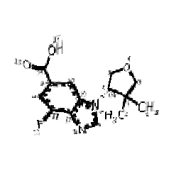 CC1(C)COC[C@H]1n1cnc2c(F)cc(C(=O)O)cc21